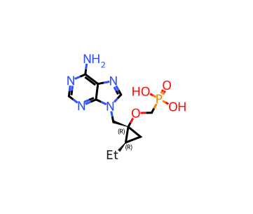 CC[C@@H]1C[C@@]1(Cn1cnc2c(N)ncnc21)OCP(=O)(O)O